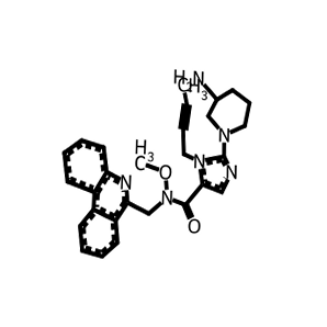 CC#CCn1c(C(=O)N(Cc2nc3ccccc3c3ccccc23)OC)cnc1N1CCCC(N)C1